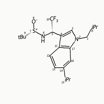 CC(C)Cn1cc([C@H](N[S@@+]([O-])C(C)(C)C)C(F)(F)F)c2ccc(C(C)C)cc21